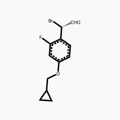 O=C[C@@H](Br)c1ccc(OCC2CC2)cc1F